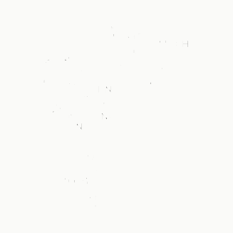 COc1ccc(CNc2nc(COCC(=O)O)nc3sc4c(c23)CCCC4)cc1OC